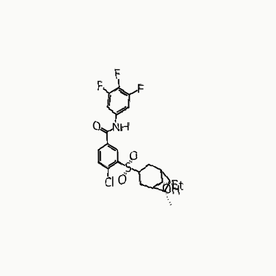 CC[C@@]1(O)C2CC(S(=O)(=O)c3cc(C(=O)Nc4cc(F)c(F)c(F)c4)ccc3Cl)CC1[C@@H](C)C2